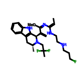 C=C(/C(=N\C(=C/C)NCCNCCCF)OC)[C@@H]1c2[nH]c3ccccc3c2C[C@@H](C)N1CC(C)(F)F